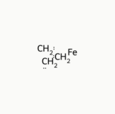 [CH2].[CH2].[CH2].[Fe]